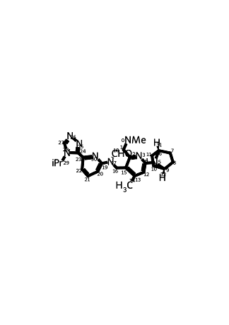 CNCc1nc(N2[C@H]3CC[C@@H]2CC3)cc(C)c1CN(C=O)c1cccc(-c2nncn2C(C)C)n1